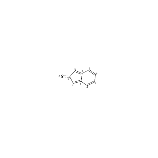 S=C1C=c2ccccc2=C1